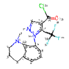 CN1CCCc2cccc(-n3ncc(C(=O)Cl)c3C(F)(F)F)c21